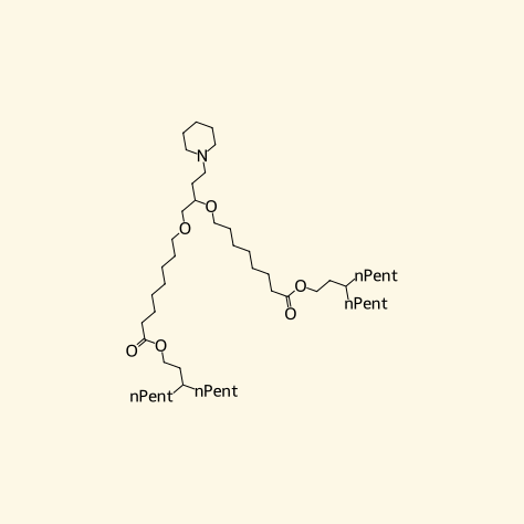 CCCCCC(CCCCC)CCOC(=O)CCCCCCCOCC(CCN1CCCCC1)OCCCCCCCC(=O)OCCC(CCCCC)CCCCC